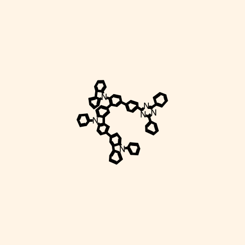 c1ccc(-c2nc(-c3ccccc3)nc(-c3ccc(-c4ccc(-n5c6ccccc6c6ccccc65)c(-c5ccc6c(c5)c5cc(-c7ccc8c(c7)c7ccccc7n8-c7ccccc7)ccc5n6-c5ccccc5)c4)cc3)n2)cc1